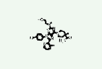 Cc1cccnc1-c1nc2c(N3CCC(C)(C(N)=O)CC3)nc(N(C)CCO)nc2n1-c1ccc(Cl)cc1